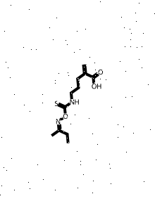 C=C(CCCNC(=S)ON=C(C)CC)C(=O)O